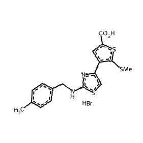 Br.CSc1sc(C(=O)O)cc1-c1csc(NCc2ccc(C)cc2)n1